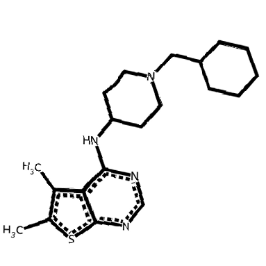 Cc1sc2ncnc(NC3CCN(CC4CCCCC4)CC3)c2c1C